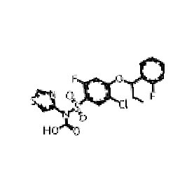 CCC(Oc1cc(F)c(S(=O)(=O)N(C(=O)O)c2cscn2)cc1Cl)c1ccccc1F